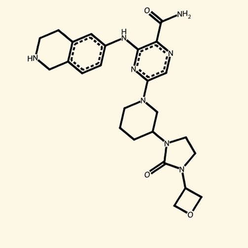 NC(=O)c1ncc(N2CCCC(N3CCN(C4COC4)C3=O)C2)nc1Nc1ccc2c(c1)CCNC2